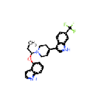 CCC(Oc1cccc2[nH]ccc12)N1CC=C(c2c[nH]c3cc(C(F)(F)F)ccc23)CC1